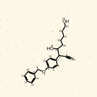 N#CC(c1ccc(OCc2ccccc2)cc1)C(O)CCCCCO